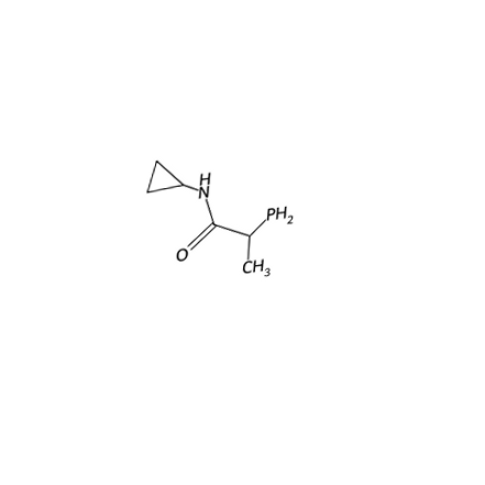 CC(P)C(=O)NC1CC1